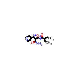 CCC(CC)C(=O)Nc1onc(-c2ccncc2)c1C(N)=O